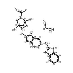 CC(=O)N1C[C@@H]2C[C@H]1CN2Cc1cc2ncc(Oc3nc4ncccc4s3)cc2o1.O=CO